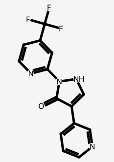 O=c1c(-c2cccnc2)c[nH]n1-c1cc(C(F)(F)F)ccn1